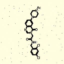 CC(=O)N1CCN(c2ccc3ncn(CC(=O)NCc4ccc(Cl)cc4Cl)c(=O)c3c2)CC1